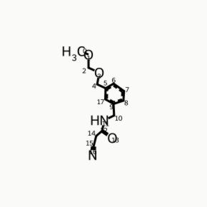 COCOCc1cccc(CNC(=O)CC#N)c1